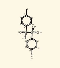 Cc1ccc(S(=O)(=O)S(=O)(=O)c2ccc(Cl)cc2)cc1